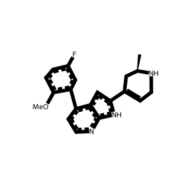 COc1ccc(F)cc1-c1ccnc2[nH]c(C3=CCN[C@H](C)C3)cc12